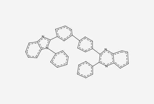 c1ccc(-c2nc3ccccc3nc2-c2ccc(-c3cccc(-c4nc5ccccc5n4-c4ccccc4)c3)cc2)cc1